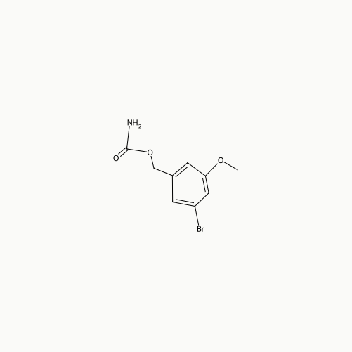 COc1cc(Br)cc(COC(N)=O)c1